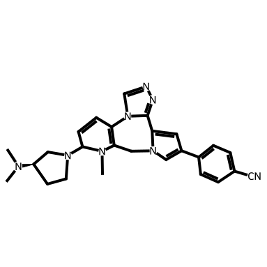 CN1C2=C(C=CC1N1CC[C@@H](N(C)C)C1)n1cnnc1-c1cc(-c3ccc(C#N)cc3)cn1C2